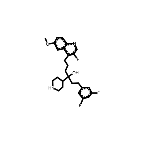 COc1ccc2ncc(F)c(CCCC(O)(CCc3cc(F)cc(F)c3)C3CCNCC3)c2c1